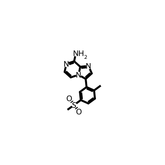 Cc1ccc(S(C)(=O)=O)cc1-c1cnc2c(N)nccn12